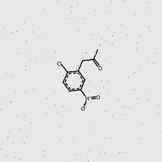 CC(=O)Cc1cc([N+](=O)[O-])ccc1Cl